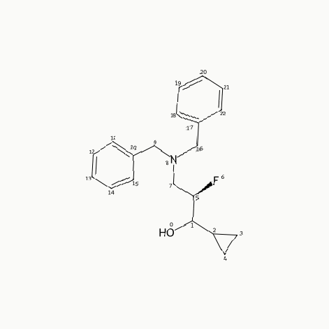 OC(C1CC1)[C@H](F)CN(Cc1ccccc1)Cc1ccccc1